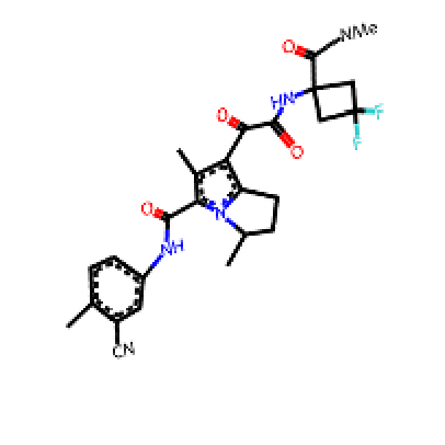 CNC(=O)C1(NC(=O)C(=O)c2c(C)c(C(=O)Nc3ccc(C)c(C#N)c3)n3c2CCC3C)CC(F)(F)C1